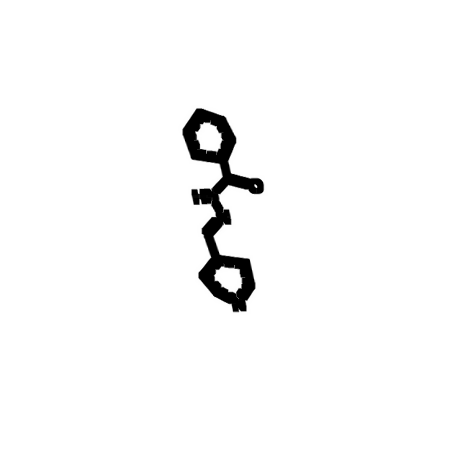 O=C(NN=Cc1ccncc1)c1ccccc1